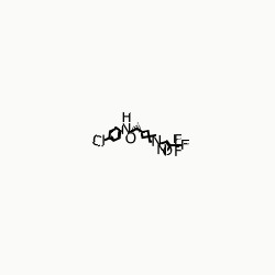 C[C@@H](C(=O)Nc1ccc(Cl)cc1)C1CC2(C1)CN(c1cc(C(F)(F)F)on1)C2